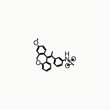 COc1ccc2c(c1)COc1ccccc1/C2=C(/C)c1cccc(NS(C)(=O)=O)c1